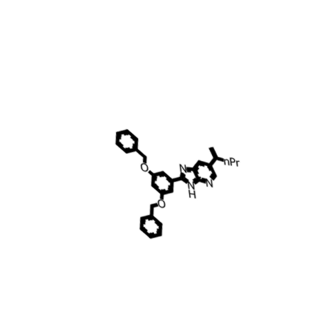 C=C(CCC)c1cnc2[nH]c(-c3cc(OCc4ccccc4)cc(OCc4ccccc4)c3)nc2c1